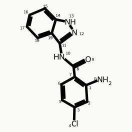 Nc1cc(Cl)ccc1C(=O)Nc1n[nH]c2ccccc12